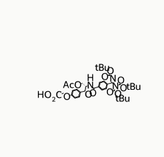 CC(=O)OC[C@H](NC(=O)c1ccc(/C(=N\C(=O)OC(C)(C)C)N(C(=O)OC(C)(C)C)C(=O)OC(C)(C)C)cc1)C(=O)c1ccc(OCC(=O)O)cc1